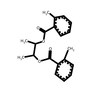 Cc1ccccc1C(=O)OC(C)C(C)OC(=O)c1ccccc1C